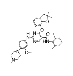 COc1cc(Nc2ncc(C(=O)Nc3c(C)cccc3C)c(Oc3cccc4c3OC(C)(C)C4)n2)ccc1N1CCN(C)CC1